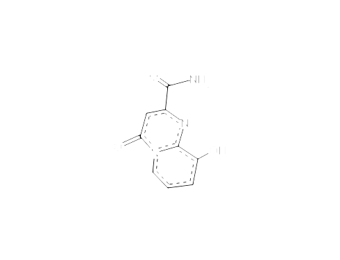 NC(=O)c1cc(=O)n2cccc(O)c2n1